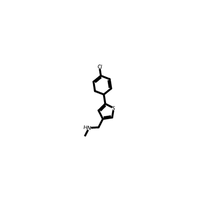 CNCc1csc(C2C=CC(Cl)=CC2)c1